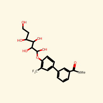 CNC(=O)c1cccc(-c2ccc(OC(O)C(O)C(O)C(O)CCO)c(C(F)(F)F)c2)c1